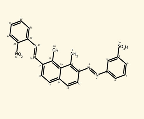 Nc1c(N=Nc2cccc(S(=O)(=O)O)c2)ccc2ccc(N=Nc3ccccc3[N+](=O)[O-])c(O)c12